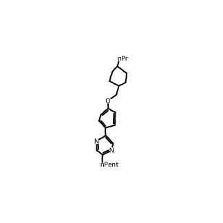 CCCCCc1cnc(-c2ccc(OCC3CCC(CCC)CC3)cc2)cn1